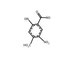 O=NC(=O)c1cc([N+](=O)[O-])c(C(=O)O)cc1N=O